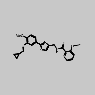 COc1ccc(-c2nc(CNC(=O)c3ncccc3OC(C)C)co2)cc1OCC1CC1